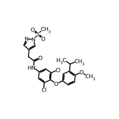 COc1ccc(Oc2c(Cl)cc(NC(=O)Cc3cnn(S(C)(=O)=O)c3)cc2Cl)cc1C(C)C